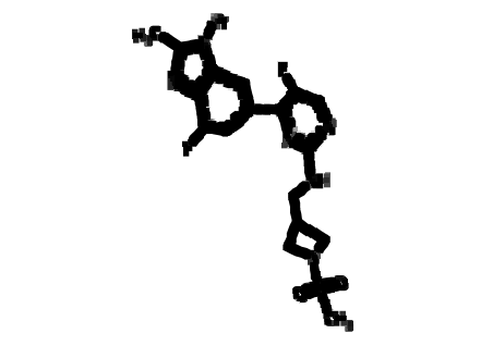 Cc1nc2c(F)cc(-c3nc(NCC4CN(S(C)(=O)=O)C4)ncc3F)cc2n1C(C)C